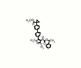 COC(=O)C1(c2ccc(-c3ccc(-c4c(NC(=O)OC(C)c5ccccc5)c(C)nn4C)cc3)cc2)CC1